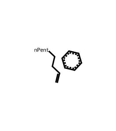 C=CCCCCCCC.c1ccccc1